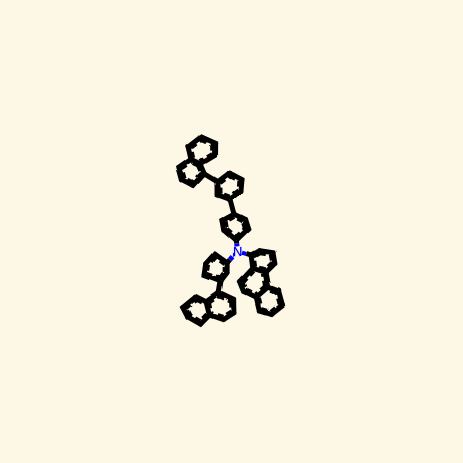 c1cc(-c2ccc(N(c3cccc(-c4cccc5ccccc45)c3)c3cccc4c3ccc3ccccc34)cc2)cc(-c2cccc3ccccc23)c1